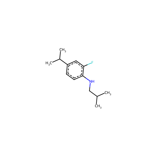 CC(C)CNc1ccc(C(C)C)cc1F